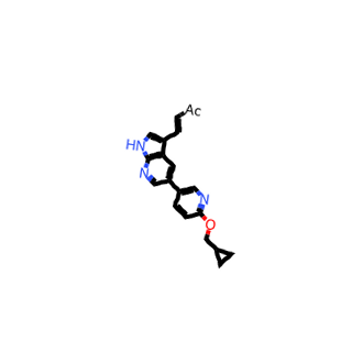 CC(=O)/C=C/c1c[nH]c2ncc(-c3ccc(OCC4CC4)nc3)cc12